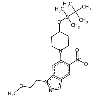 COCCn1ncc2cc([N+](=O)[O-])c(N3CCC(O[Si](C)(C)C(C)(C)C)CC3)cc21